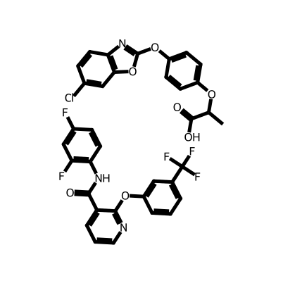 CC(Oc1ccc(Oc2nc3ccc(Cl)cc3o2)cc1)C(=O)O.O=C(Nc1ccc(F)cc1F)c1cccnc1Oc1cccc(C(F)(F)F)c1